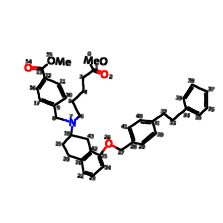 COC(=O)CCCCN(Cc1ccc(C(=O)OC)cc1)C1CCc2cccc(OCc3ccc(CCc4ccccc4)cc3)c2C1